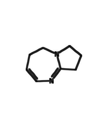 C1=CN=C2CCCN2CC1